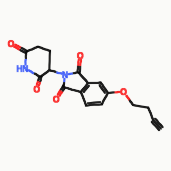 C#CCCOc1ccc2c(c1)C(=O)N(C1CCC(=O)NC1=O)C2=O